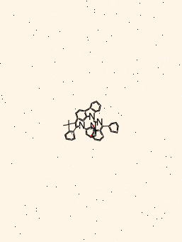 CC1(C)c2ccccc2-c2c1c1ccc3c4ccccc4n(-c4nc(-c5ccccc5)c5ccccc5n4)c3c1n2-c1ccccc1